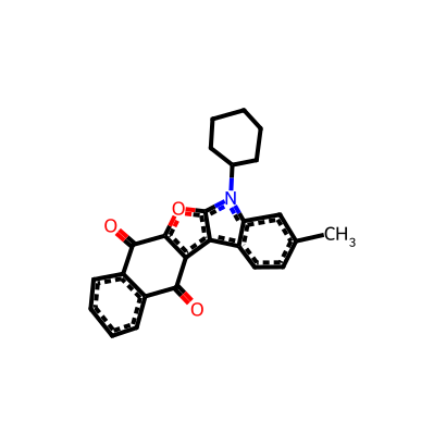 Cc1ccc2c3c4c(oc3n(C3CCCCC3)c2c1)C(=O)c1ccccc1C4=O